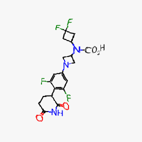 O=C1CCC(c2c(F)cc(N3CC(N(C(=O)O)C4CC(F)(F)C4)C3)cc2F)C(=O)N1